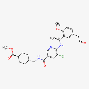 COc1ccc(CC=O)cc1[C@H](C)Nc1ncc(C(=O)NC[C@H]2CC[C@H](C(=O)OC)CC2)cc1Cl